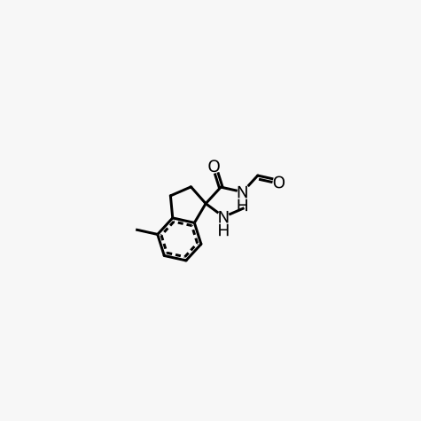 CNC1(C(=O)NC=O)CCc2c(C)cccc21